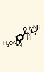 Cn1cnc2cc(C(=O)NC3=NNCS3)ccc21